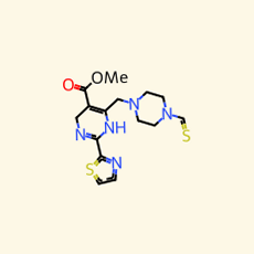 COC(=O)C1=C(CN2CCN(C=S)CC2)NC(c2nccs2)=NC1